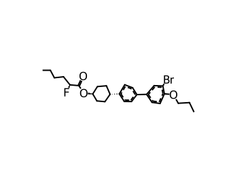 CCCC[C@H](F)C(=O)O[C@H]1CC[C@H](c2ccc(-c3ccc(OCCC)c(Br)c3)cc2)CC1